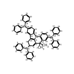 CC1(C)C2=CC(N(c3ccccc3)c3ccccc3)Cc3c2n(c2ccc(N(c4ccccc4)c4ccccc4)cc32)-c2ccc(N(c3ccccc3)c3ccccc3)cc21